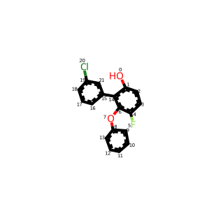 Oc1ccc(F)c(Oc2ccccc2)c1-c1cccc(Cl)c1